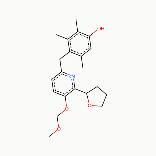 COCOc1ccc(Cc2c(C)cc(O)c(C)c2C)nc1C1CCCO1